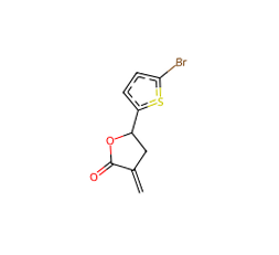 C=C1CC(c2ccc(Br)s2)OC1=O